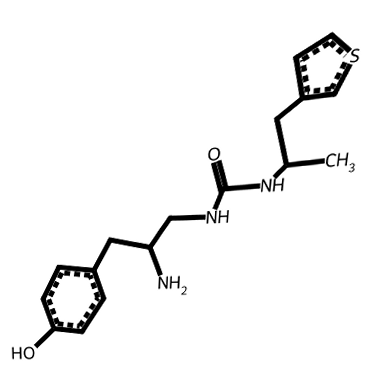 CC(Cc1ccsc1)NC(=O)NCC(N)Cc1ccc(O)cc1